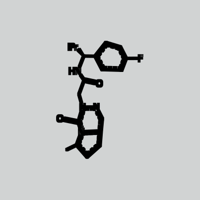 Cc1ccc2cnn(CC(=O)N[C@H](c3ccc(F)cc3)C(C)C)c(=O)n12